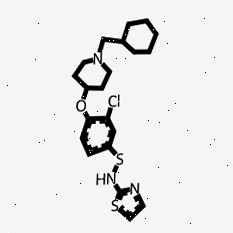 Clc1cc(SNc2nccs2)ccc1OC1CCN(CC2CCCCC2)CC1